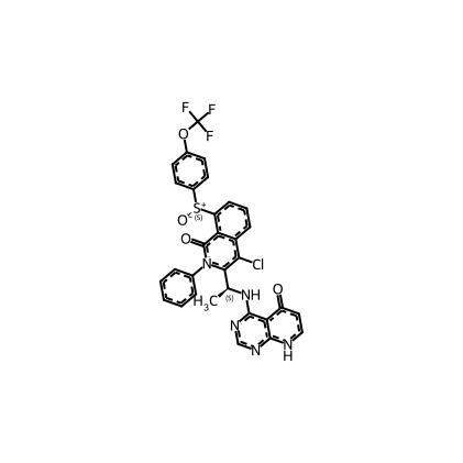 C[C@H](Nc1ncnc2[nH]ccc(=O)c12)c1c(Cl)c2cccc([S@+]([O-])c3ccc(OC(F)(F)F)cc3)c2c(=O)n1-c1ccccc1